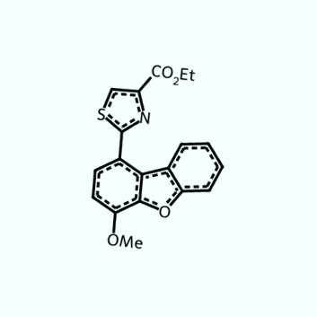 CCOC(=O)c1csc(-c2ccc(OC)c3oc4ccccc4c23)n1